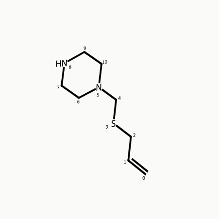 C=CCSCN1CCNCC1